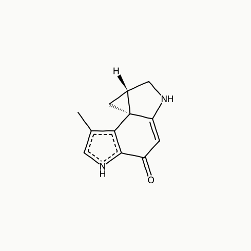 Cc1c[nH]c2c1[C@@]13C[C@@H]1CNC3=CC2=O